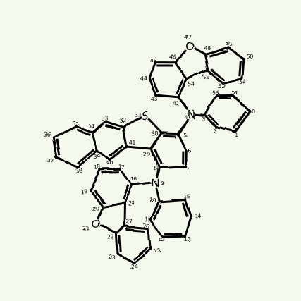 c1ccc(N(c2ccc(N(c3ccccc3)c3cccc4oc5ccccc5c34)c3c2sc2cc4ccccc4cc23)c2cccc3oc4ccccc4c23)cc1